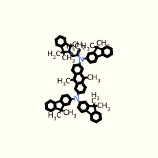 C=C1/C(=C\C(=C/C)N(c2ccc3c(c2)C(C)(C)c2ccccc2-3)c2ccc3c(C)c4cc(N(c5ccc6c(c5)C(C)(C)c5ccccc5-6)c5ccc6c(c5)C(C)(C)c5ccccc5-6)ccc4c(C)c3c2)C(C)(C)c2ccccc21